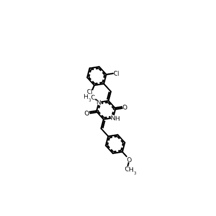 COc1ccc(C=c2[nH]c(=O)c(=Cc3c(Cl)cccc3Cl)n(C)c2=O)cc1